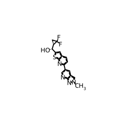 Cn1cc2cc(-c3ccc4cc([C@H](O)[C@H]5CC5(F)F)sc4n3)cnc2n1